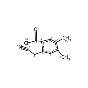 Cc1cc(CC#N)c(C(=O)Cl)cc1C